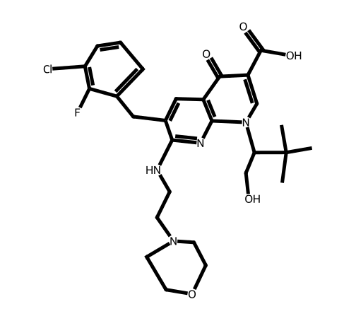 CC(C)(C)C(CO)n1cc(C(=O)O)c(=O)c2cc(Cc3cccc(Cl)c3F)c(NCCN3CCOCC3)nc21